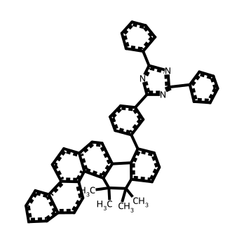 CC1(C)c2cccc(-c3cccc(-c4nc(-c5ccccc5)nc(-c5ccccc5)n4)c3)c2-c2ccc3ccc4c5ccccc5ccc4c3c2C1(C)C